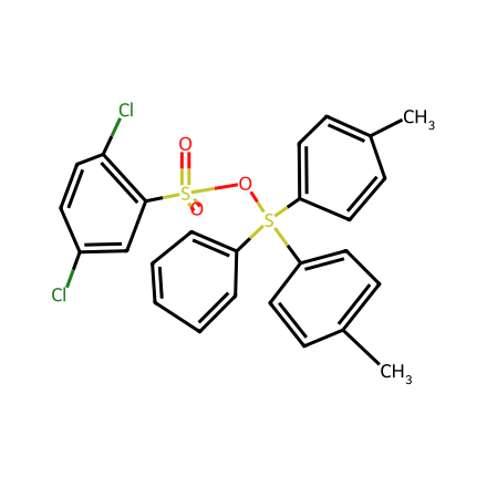 Cc1ccc(S(OS(=O)(=O)c2cc(Cl)ccc2Cl)(c2ccccc2)c2ccc(C)cc2)cc1